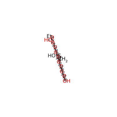 C=CC(=O)O.CCOC(O)COCCOCCOCCOCCOCCOCCOCCOCCO